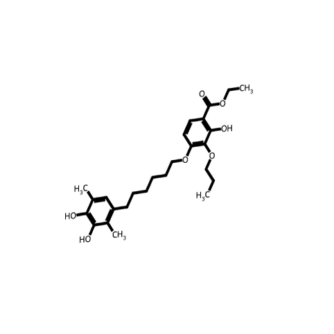 CCCOc1c(OCCCCCCc2cc(C)c(O)c(O)c2C)ccc(C(=O)OCC)c1O